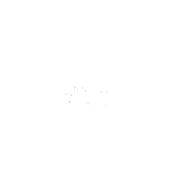 COc1ccc(C2=NN(c3ccccc3)C(=O)[C@H]3CCCC[C@@H]23)cc1OC